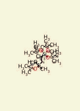 C[Si](C)(C)O[Si](C)(C)CC[Si](O[Si](C)(C)C)(O[Si](C)(C)C)O[Si](C)(C)C